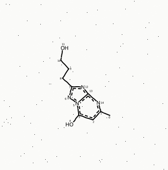 Cc1cc(O)n2nc(CCCO)nc2n1